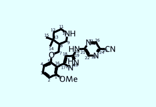 COc1cccc(OCC2CNCCC2(C)C)c1-c1cc(Nc2cnc(C#N)cn2)n[nH]1